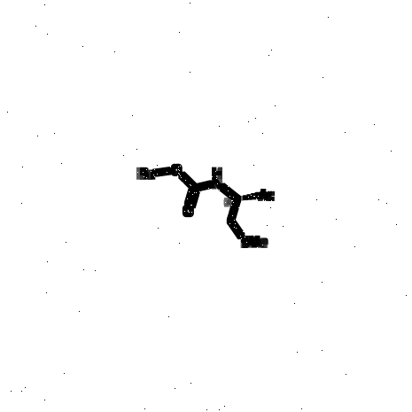 CCC(C)OC(=O)N[C@@H](CSC)C(C)=O